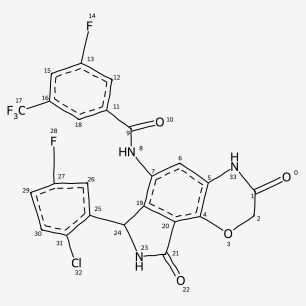 O=C1COc2c(cc(NC(=O)c3cc(F)cc(C(F)(F)F)c3)c3c2C(=O)NC3c2cc(F)ccc2Cl)N1